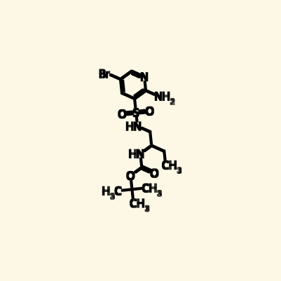 CCC(CNS(=O)(=O)c1cc(Br)cnc1N)NC(=O)OC(C)(C)C